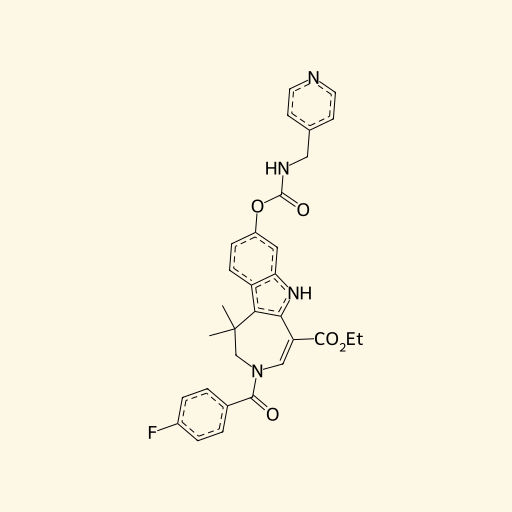 CCOC(=O)C1=CN(C(=O)c2ccc(F)cc2)CC(C)(C)c2c1[nH]c1cc(OC(=O)NCc3ccncc3)ccc21